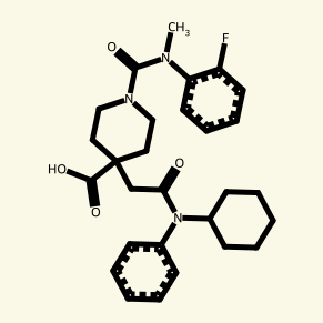 CN(C(=O)N1CCC(CC(=O)N(c2ccccc2)C2CCCCC2)(C(=O)O)CC1)c1ccccc1F